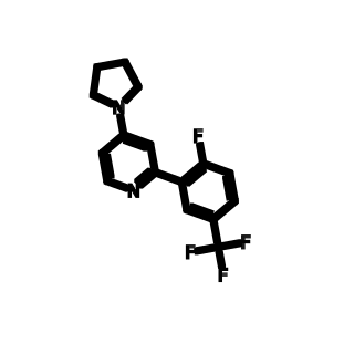 Fc1ccc(C(F)(F)F)cc1-c1cc(N2CCCC2)ccn1